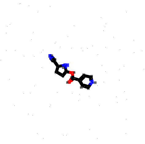 N#CC1CCC(OC(=O)c2ccncc2)N1